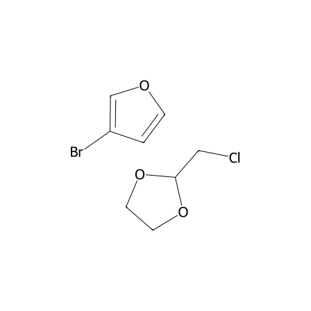 Brc1ccoc1.ClCC1OCCO1